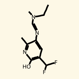 CCN(C)/C=N/c1cc(C(F)F)c(O)nc1C